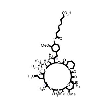 C=CCC1/C=C(/C)CC(C)CC(OC)C2OC(O)(C(=O)C(=O)N3CCCCC3C(=O)OC(/C(C)=C/C3CCC(OC(=O)CCCCCCC(=O)O)C(OC)C3)C(C)C(O[Si](C)(C)C(C)(C)C)CC1=O)C(C)CC2OC